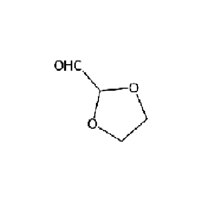 O=CC1OCCO1